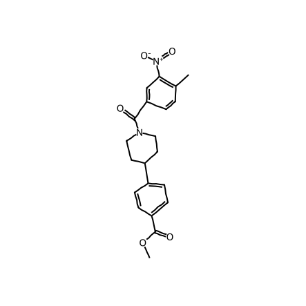 COC(=O)c1ccc(C2CCN(C(=O)c3ccc(C)c([N+](=O)[O-])c3)CC2)cc1